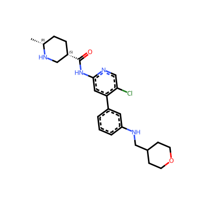 C[C@@H]1CC[C@H](C(=O)Nc2cc(-c3cccc(NCC4CCOCC4)c3)c(Cl)cn2)CN1